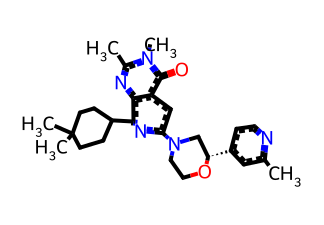 Cc1cc([C@H]2CN(c3cc4c(=O)n(C)c(C)nc4c(C4CCC(C)(C)CC4)n3)CCO2)ccn1